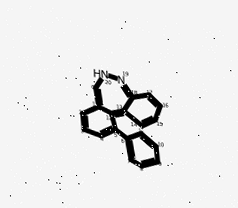 C1=c2cccc(-c3ccccc3)c2=c2ccccc2=NN1